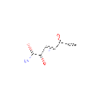 COC(=O)/C=C/C(=O)C(N)=O